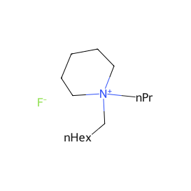 CCCCCCC[N+]1(CCC)CCCCC1.[F-]